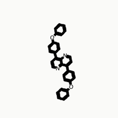 c1ccc(Oc2ccc(-c3ccnc4c(-c5ccc(Oc6ccccc6)cc5)ccnc34)cc2)cc1